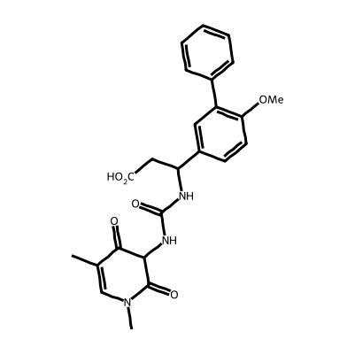 COc1ccc(C(CC(=O)O)NC(=O)NC2C(=O)C(C)=CN(C)C2=O)cc1-c1ccccc1